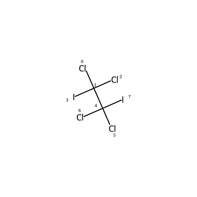 ClC(Cl)(I)C(Cl)(Cl)I